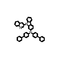 c1ccc(-c2ccc(N(c3ccc(-c4ccccc4)cc3)c3ccc4c5ccccc5n(-c5cnc6ccccc6c5)c4c3)cc2)cc1